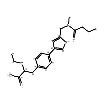 CCCC(=O)N(C)Cc1cc(-c2ccc(CC(OCC)C(=O)O)cc2)cs1